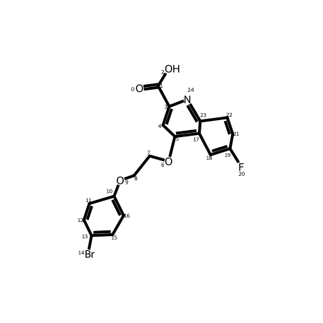 O=C(O)c1cc(OCCOc2ccc(Br)cc2)c2cc(F)ccc2n1